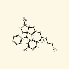 C=C(c1ccccc1)[C@@]12CC[C@@H](O)C1CC(CCCCCC)=C2c1cc(Br)ccc1C